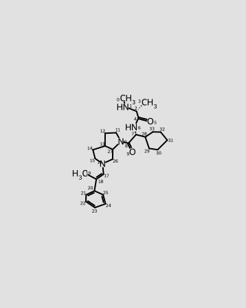 CN[C@H](C)C(=O)N[C@@H](C(=O)N1CCC2CCN(/C=C(\C)c3ccccc3)CC21)C1CCCCC1